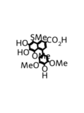 COc1cc(-c2cc(C(=O)O)cc3c(SC)c(O)c(O)c(OC)c23)cc(OC)c1O